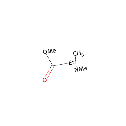 CCC(=O)OC.CNC